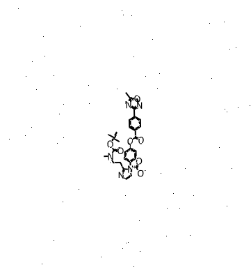 Cc1nc(-c2ccc(C(=O)Oc3ccc([N+]4(C(=O)[O-])C=CN=C4CCN(C)C(=O)OC(C)(C)C)cc3)cc2)no1